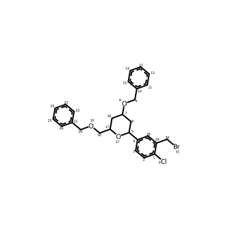 Clc1ccc(C2CC(OCc3ccccc3)CC(COCc3ccccc3)O2)cc1CBr